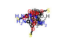 CNC(=O)[C@@](Cc1ccc(OCC=CC=S)cc1)(C(=O)OC(C)(C)C)N(c1cc(N(c2ccc(CN)cc2C(=O)O)[C@@](Cc2ccc(OCC=CC=S)cc2)(C(=O)NC)C(=O)OC(C)(C)C)cc(N(c2ccc(CN)cc2C(=O)O)[C@@](Cc2ccc(OCC=CC=S)cc2)(C(=O)NC)C(=O)OC(C)(C)C)c1)c1ccc(CN)cc1C(=O)O